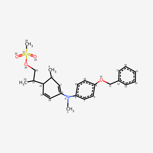 CC1C=C(N(C)c2ccc(OCc3ccccc3)cc2)C=CC1C(C)COS(C)(=O)=O